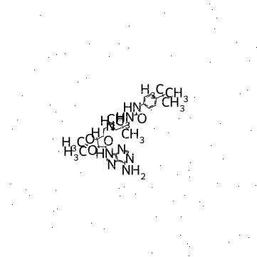 CN(C[C@H]1O[C@@H](n2cnc3c(N)ncnc32)[C@@H]2OC(C)(C)O[C@@H]21)CC(C)(C)CNC(=O)Nc1ccc(C(C)(C)C)cc1